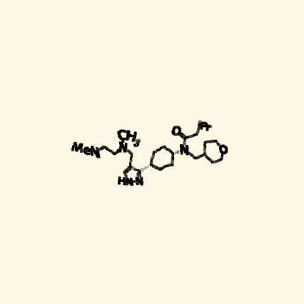 CNCCN(C)Cc1c[nH]nc1[C@H]1CC[C@@H](N(CC2CCOCC2)C(=O)CC(C)C)CC1